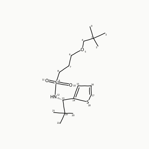 CC(C)(C)COCCCS(=O)(=O)N[C@H](c1cccs1)C(C)(C)C